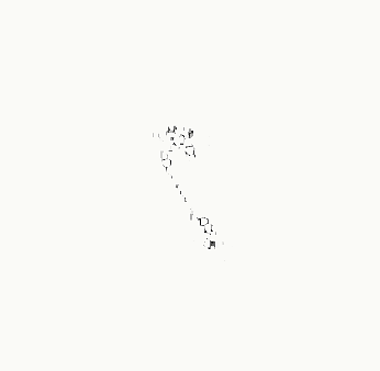 C=C1CCC(N2N=Cc3ccc(NCCOCCCCCOCCCc4ccc(NC(=C)CC5N=C(c6ccc(Cl)cc6)c6c(sc(C)c6C)N(/C(C)=N\C)C5=C)cc4)cc3C2=C)C(=C)N1